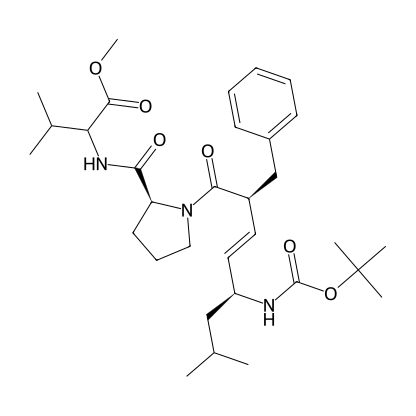 COC(=O)C(NC(=O)[C@@H]1CCCN1C(=O)[C@H](/C=C/[C@H](CC(C)C)NC(=O)OC(C)(C)C)Cc1ccccc1)C(C)C